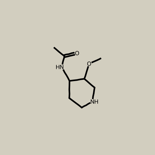 COC1CNCCC1NC(C)=O